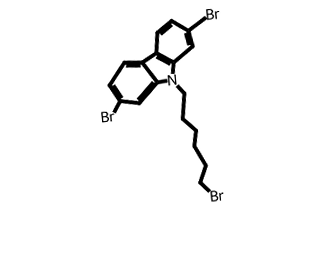 BrCCCCCCn1c2cc(Br)ccc2c2ccc(Br)cc21